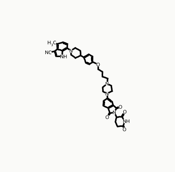 Cc1ccc(N2CCC(c3ccc(OCCCCN4CCN(c5ccc6c(c5)C(=O)N(C5CCC(=O)NC5=O)C6=O)CC4)cc3)CC2)c2[nH]cc(C#N)c12